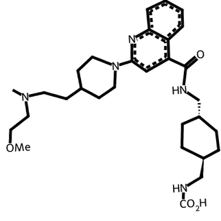 COCCN(C)CCC1CCN(c2cc(C(=O)NC[C@H]3CC[C@H](CNC(=O)O)CC3)c3ccccc3n2)CC1